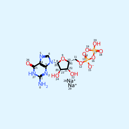 Nc1nc2c(ncn2[C@@H]2O[C@H](COP(=O)([O-])OP(=O)([O-])O)[C@@H](O)[C@H]2O)c(=O)[nH]1.[Na+].[Na+]